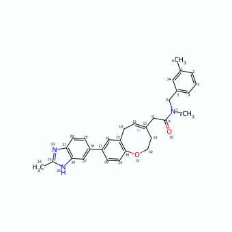 Cc1cccc(CN(C)C(=O)C/C2=C/Cc3cc(-c4ccc5nc(C)[nH]c5c4)ccc3OCC2)c1